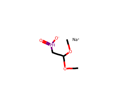 COC(C[PH](=O)[O-])OC.[Na+]